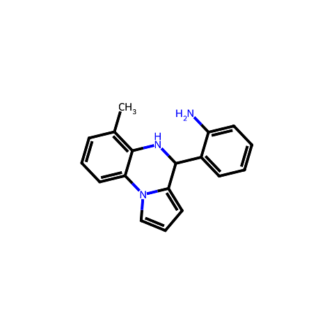 Cc1cccc2c1NC(c1ccccc1N)c1cccn1-2